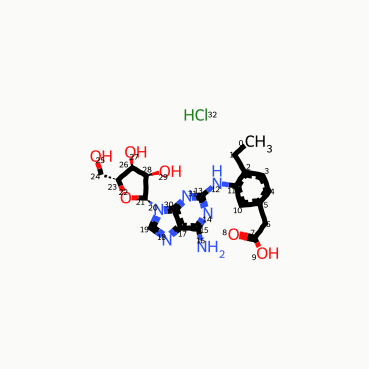 CCc1ccc(CC(=O)O)cc1Nc1nc(N)c2ncn([C@@H]3O[C@H](CO)[C@@H](O)[C@H]3O)c2n1.Cl